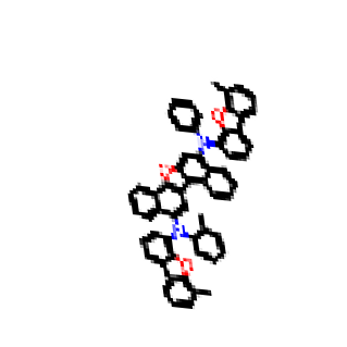 Cc1cccc2c1oc1c(N(c3ccccc3)c3cc4oc5c6ccccc6c(N(c6cccc7c6oc6c(C)cccc67)C6C=CC=CC6C)cc5c4c4ccccc34)cccc12